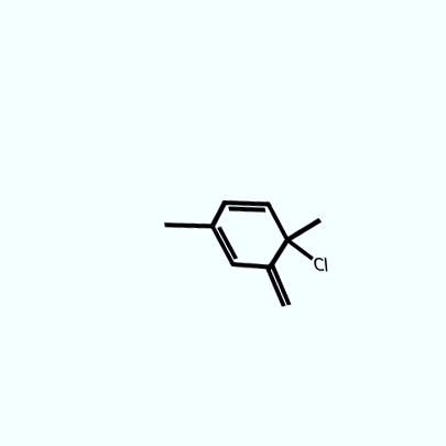 C=C1C=C(C)C=CC1(C)Cl